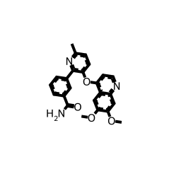 COc1cc2nccc(Oc3ccc(C)nc3-c3cccc(C(N)=O)c3)c2cc1OC